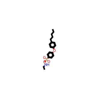 CCCCCc1ccc(Oc2ccc(S(=O)(=O)ONCC)cc2)cc1